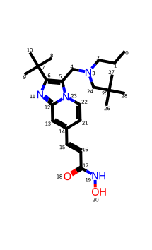 CCCN(Cc1c(C(C)(C)C)nc2cc(/C=C/C(=O)NO)ccn12)CC(C)(C)C